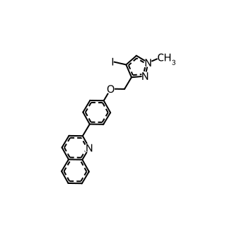 Cn1cc(I)c(COc2ccc(-c3ccc4ccccc4n3)cc2)n1